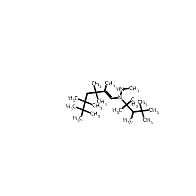 CNN(/C=C(\C)C(C)(C)CC(C)(C)C(C)(C)C)C(C)(C)C(C)C(C)(C)C